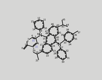 C=C(C)/C=C\C(=C/C)N(c1ccccc1)c1c2cc(C(C)C)ccc2c(N(c2ccccc2)c2ccc(C)cc2)c2cc(C(C)C)ccc12